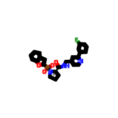 O=C(NCc1ccnc(-c2cccc(F)c2)c1)[C@@H]1CCCN1S(=O)(=O)c1cc2ccccc2o1